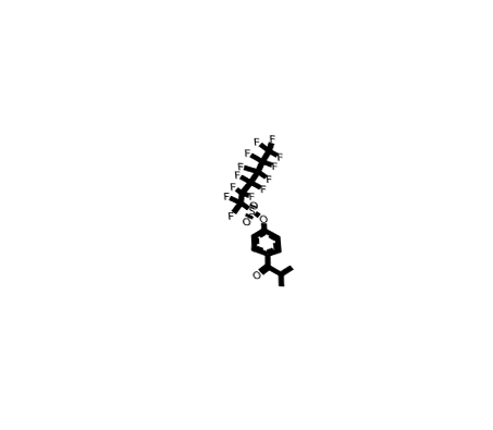 CC(C)C(=O)c1ccc(OS(=O)(=O)C(F)(F)C(F)(F)C(F)(F)C(F)(F)C(F)(F)C(F)(F)F)cc1